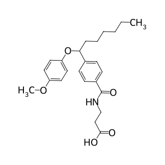 CCCCCCC(Oc1ccc(OC)cc1)c1ccc(C(=O)NCCC(=O)O)cc1